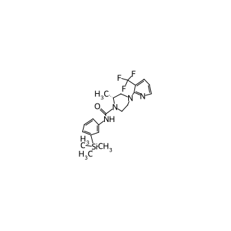 C[C@@H]1CN(c2ncccc2C(F)(F)F)CCN1C(=O)Nc1cccc([Si](C)(C)C)c1